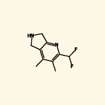 Cc1c(C(F)F)nc2c(c1C)CNC2